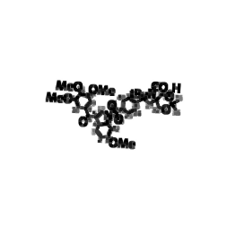 COc1ccc2c(C(=O)c3cc(OC)c(OC)c(OC)c3)cn(S(=O)(=O)c3ccc(CCC4(N(C(=O)O)C(C)(C)C)COC(C)(C)OC4)cc3)c2c1